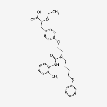 CCOC(Cc1ccc(OCCN(CCCCSc2ccccc2)C(=O)Nc2ccccc2C)cc1)C(=O)O